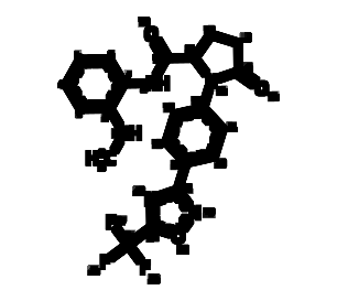 CNc1ccccc1NC(=O)C1CCC(=O)N1c1ccc(-c2noc(C(F)(F)F)n2)cc1